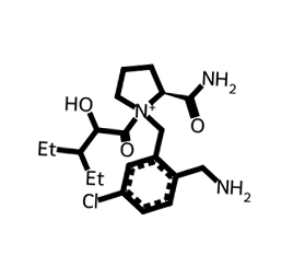 CCC(CC)C(O)C(=O)[N+]1(Cc2cc(Cl)ccc2CN)CCC[C@H]1C(N)=O